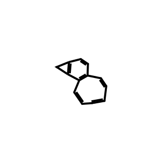 C1=CC=Cc2c(ccc3c2C3)C=C1